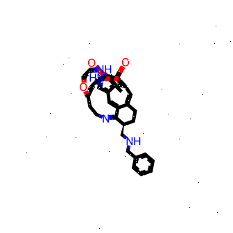 O=C1CC(=O)c2cc3occ[nH]c2/C1=C1\C=C2CC[C@@H](CNCc4ccccc4)/C(=N/CC3)C2=Cc2c[nH]cc21